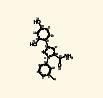 Cc1cccc(-n2nc(-c3ccc(O)cc3O)cc2C(N)=O)c1